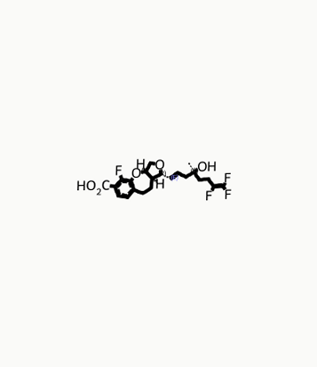 C[C@@](O)(C/C=C/[C@H]1OC[C@@H]2Oc3c(ccc(C(=O)O)c3F)CC[C@@H]21)CCC(F)=C(F)F